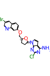 Nc1nc(Cl)nc2c1ccn2[C@H]1CC[C@@H](COc2ccc3cc(Br)cnc3c2)O1